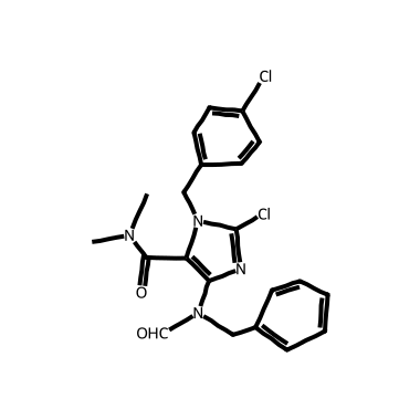 CN(C)C(=O)c1c(N(C=O)Cc2ccccc2)nc(Cl)n1Cc1ccc(Cl)cc1